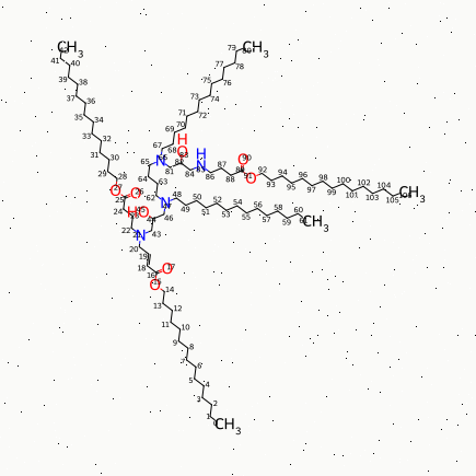 CCCCCCCCCCCCCCCOC(=O)/C=C/CN(CCCC(=O)OCCCCCCCCCCCCCCC)CC(O)CN(CCCCCCCCCCCCCC)CCCCN(CCCCCCCCCCCCCC)CC(O)CNCCCC(=O)OCCCCCCCCCCCCCCC